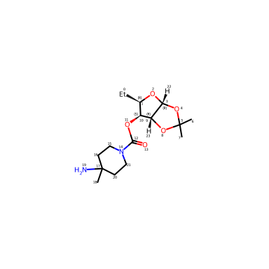 CC[C@H]1O[C@@H]2OC(C)(C)O[C@@H]2[C@H]1OC(=O)N1CCC(C)(N)CC1